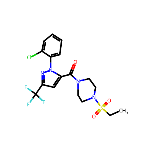 CCS(=O)(=O)N1CCN(C(=O)c2cc(C(F)(F)F)nn2-c2ccccc2Cl)CC1